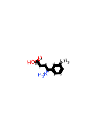 Cc1cccc(C(N)CCC(=O)O)c1